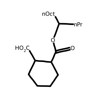 CCCCCCCCC(CCC)OC(=O)C1CCCCC1C(=O)O